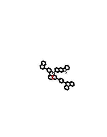 c1ccc(-c2cc(-c3cccc4ccccc34)ccc2N(c2cccc(-c3ccc(-c4cc5ccccc5c5ccccc45)cc3)c2)c2ccc3cc4c(cc3c2)sc2ccccc24)cc1